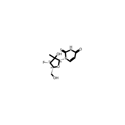 CC1(O)[C@@H](F)[C@@H](CO)O[C@H]1n1ccc(=O)[nH]c1=S